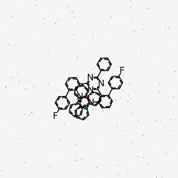 Fc1ccc(-c2cccc(-n3c4ccccc4c4ccccc43)c2-c2nc(-c3ccccc3)nc(-c3cccc(-c4ccc(F)cc4)c3-n3c4ccccc4c4ccccc43)n2)cc1